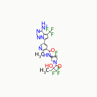 CCC(O)(C(=O)N1C[C@H](F)[C@H](NC(=O)c2cc(-c3cc(C(F)(F)F)c4c(N)ncnn34)cnc2C)C1)C(F)(F)F